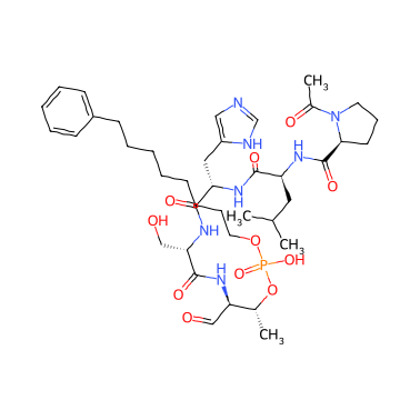 CC(=O)N1CCC[C@H]1C(=O)N[C@@H](CC(C)C)C(=O)N[C@@H](Cc1cnc[nH]1)C(=O)N[C@@H](CO)C(=O)N[C@H](C=O)[C@@H](C)OP(=O)(O)OCCCCCCCCc1ccccc1